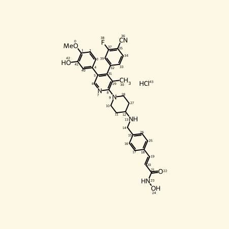 COc1ccc(-c2cnc(N3CCC(NCc4ccc(/C=C/C(=O)NO)cc4)CC3)c(C)c2-c2ccc(C#N)c(F)c2)cc1O.Cl